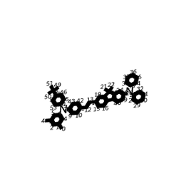 Cc1cc(C)cc(N(c2ccc(/C=C/c3ccc4c(c3)C(C)(C)c3cc(N(c5ccccc5)c5ccccc5)ccc3-4)cc2)c2ccc(C(C)(C)C)cc2)c1